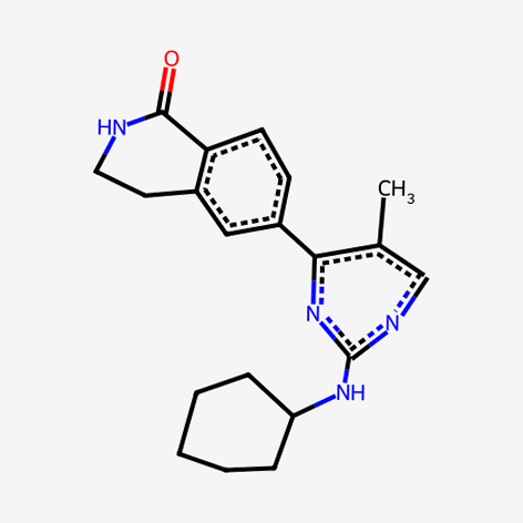 Cc1cnc(NC2CCCCC2)nc1-c1ccc2c(c1)CCNC2=O